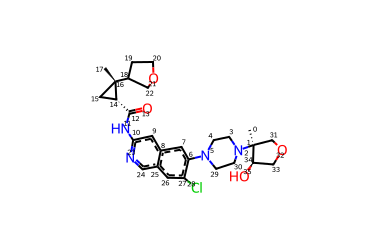 C[C@]1(N2CCN(c3cc4cc(NC(=O)[C@@H]5C[C@]5(C)C5CCOC5)ncc4cc3Cl)CC2)COC[C@H]1O